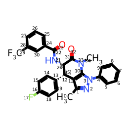 Cc1nn(-c2ccccc2)c2c1[C@H](c1ccc(F)cc1)[C@H](NC(=O)c1cccc(C(F)(F)F)c1)C(=O)N2C